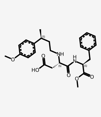 COC(=O)[C@H](Cc1ccccc1)NC(=O)[C@H](CC(=O)O)NCC[C@H](C)c1ccc(OC)cc1